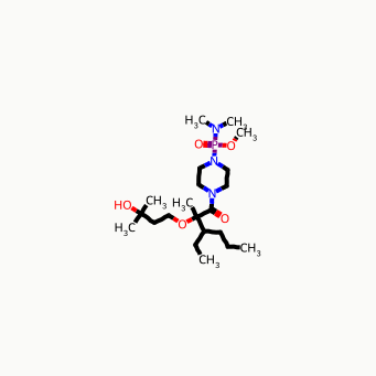 CCCC(CC)C(C)(OCCC(C)(C)O)C(=O)N1CCN(P(=O)(OC)N(C)C)CC1